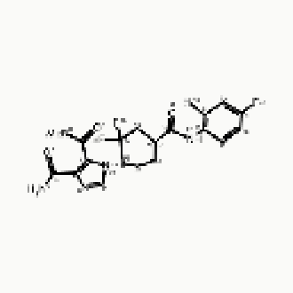 CNC(=O)c1c(C(N)=O)ncn1[C@H]1CC[C@H](C(=O)Nc2ccc(F)cc2Cl)CC1(F)F